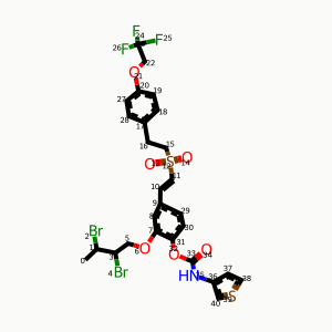 CC(Br)C(Br)COc1cc(/C=C/S(=O)(=O)CCc2ccc(OCC(F)(F)F)cc2)ccc1OC(=O)Nc1ccsc1